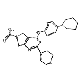 O=C(O)N1Cc2nc(C3=CCOCC3)nc(Nc3ccc(C4CCCCC4)cc3)c2C1